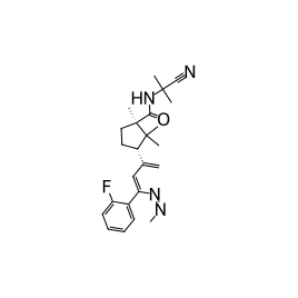 C=C(/C=C(\N=N/C)c1ccccc1F)[C@@H]1CC[C@@](C)(C(=O)NC(C)(C)C#N)C1(C)C